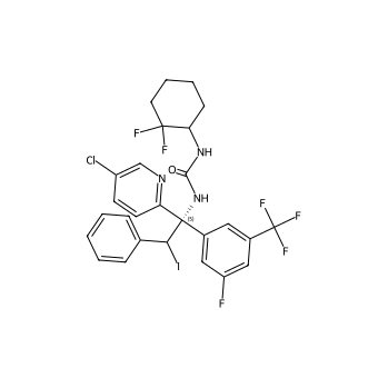 O=C(NC1CCCCC1(F)F)N[C@@](c1cc(F)cc(C(F)(F)F)c1)(c1ccc(Cl)cn1)C(I)c1ccccc1